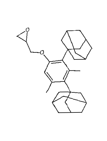 Cc1cc(OCC2CO2)c(C23CC4CC(CC(C4)C2)C3)c(C)c1C12CC3CC(CC(C3)C1)C2